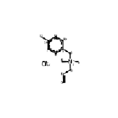 C=CC[N+](C)(C)Cc1ccc(C)cc1.[Cl-]